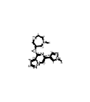 CN1CCOCC(Oc2nc(-c3cnn(C)c3)cn3nccc23)C1